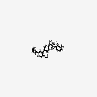 O=S(=O)(Nc1ccc(-c2cc(-c3nccs3)ccc2Cl)cc1)c1cccc(F)c1F